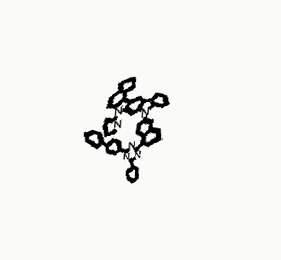 c1ccc(-c2ccc(-c3nc(-c4ccccc4)nc(-c4cccc5cc(-n6c7ccccc7c7cc8c9c%10ccccc%10ccc9n(-c9ccccn9)c8cc76)ccc45)n3)cc2)cc1